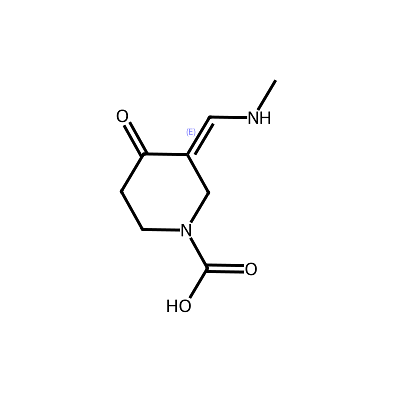 CN/C=C1\CN(C(=O)O)CCC1=O